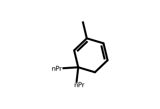 CCCC1(CCC)C=C(C)C=CC1